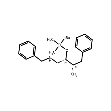 C[C@@H](Cc1ccccc1)[C@H](CNCc1ccccc1)O[Si](C)(C)C(C)(C)C